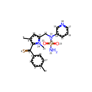 Cc1ccc(C(=S)c2c(C)cc(CN(c3cccnc3)S(N)(=O)=O)n2C)cc1